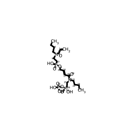 C=CC(=O)N(CCCC)CCP(=O)(O)OC/C=C/C(=O)N(CCCC)CCP(=O)(O)OP(=O)(O)O